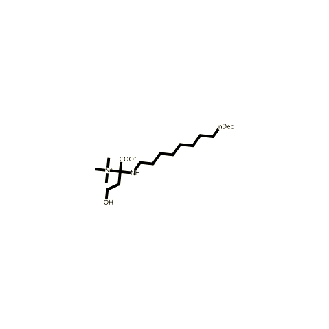 CCCCCCCCCCCCCCCCCCNC(CCO)(C(=O)[O-])[N+](C)(C)C